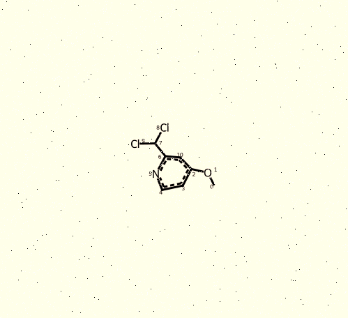 COc1ccnc(C(Cl)Cl)c1